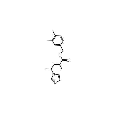 Cc1ccc(COC(=O)C(C)CC(C)n2ccnc2)cc1C